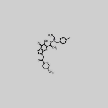 C=C(S/C(=C\N)Cc1ccc(F)cc1)c1nc2n(CC(=O)N3CCN(C)CC3)ccn2c(=O)c1O